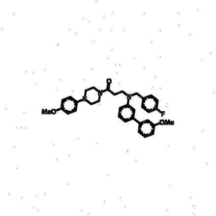 COc1ccc(N2CCN(C(=O)CCN(Cc3ccc(F)cc3)c3cccc(-c4cccc(OC)c4)c3)CC2)cc1